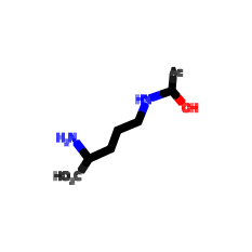 CC(=O)C(O)NCCCC(N)C(=O)O